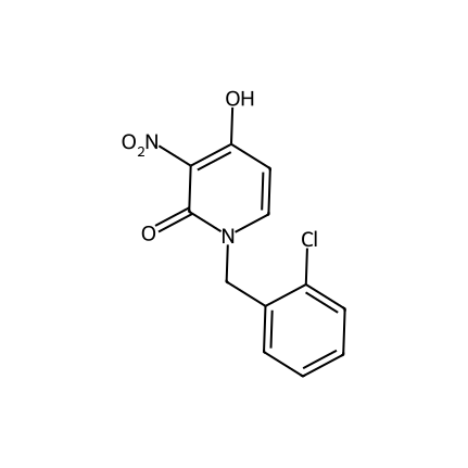 O=c1c([N+](=O)[O-])c(O)ccn1Cc1ccccc1Cl